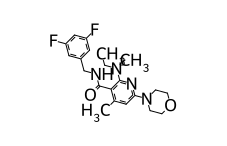 CCN(C)c1nc(N2CCOCC2)cc(C)c1C(=O)NCc1cc(F)cc(F)c1